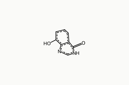 O=c1[nH]cnc2c(O)cccc12